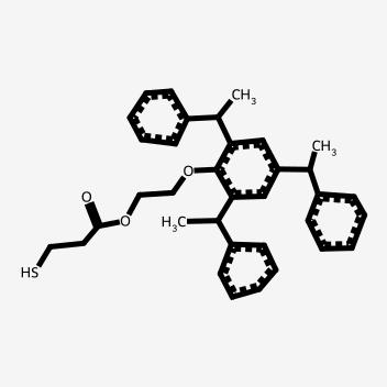 CC(c1ccccc1)c1cc(C(C)c2ccccc2)c(OCCOC(=O)CCS)c(C(C)c2ccccc2)c1